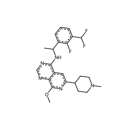 COc1nc(C2CCN(C)CC2)cc2c(NC(C)c3cccc(C(F)F)c3F)ncnc12